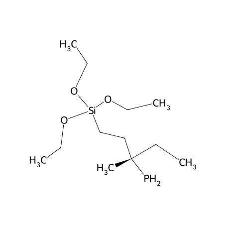 CCO[Si](CC[C@@](C)(P)CC)(OCC)OCC